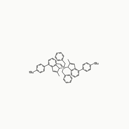 C[CH]=[Ti]([CH2]c1ccccc1)([CH2]c1ccccc1)([CH]1C(C)=Cc2c(-c3ccc(C(C)(C)C)cc3)cccc21)[CH]1C(C)=Cc2c(-c3ccc(C(C)(C)C)cc3)cccc21